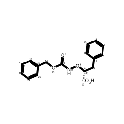 O=C(NO[C@H](Cc1ccccc1)C(=O)O)OCc1ccccc1